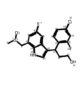 C[S+]([O-])Cc1cc(F)cc2c(C(CCO)c3ccc(Cl)cc3F)c[nH]c12